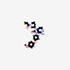 C=CC(=O)N1CCC[C@@H](n2c(=O)n(-c3ccc(Oc4ccc(OC)cc4)cc3)c3c(N)nccc32)C1